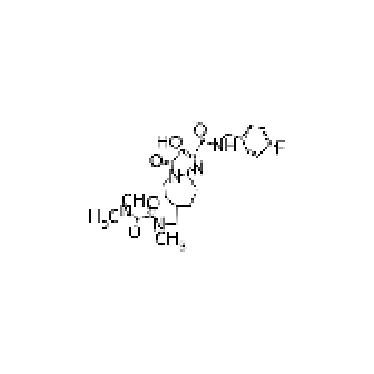 CN(C)C(=O)C(=O)N(C)CC1CCc2nc(C(=O)NCc3ccc(F)cc3)c(O)c(=O)n2CC1